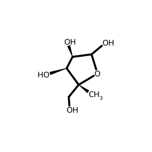 C[C@]1(CO)OC(O)[C@H](O)[C@@H]1O